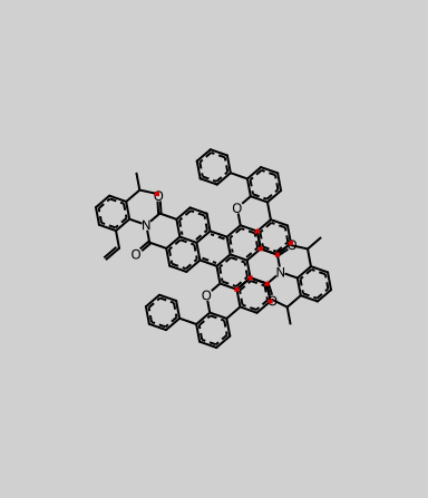 C=Cc1cccc(C(C)C)c1N1C(=O)c2ccc3c4c(Oc5c(-c6ccccc6)cccc5-c5ccccc5)cc5c6c(cc(Oc7c(-c8ccccc8)cccc7-c7ccccc7)c(c7ccc(c2c37)C1=O)c64)C(=O)N(c1c(C(C)C)cccc1C(C)C)C5=O